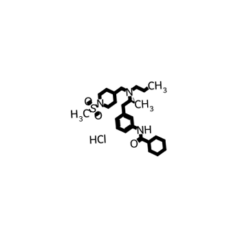 CCCN(CC1CCN(S(C)(=O)=O)CC1)[C@@H](C)Cc1cccc(NC(=O)C2CCCCC2)c1.Cl